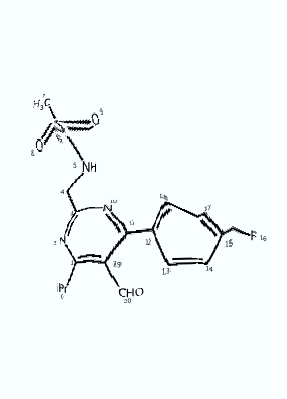 CC(C)c1nc(CNS(C)(=O)=O)nc(-c2ccc(F)cc2)c1C=O